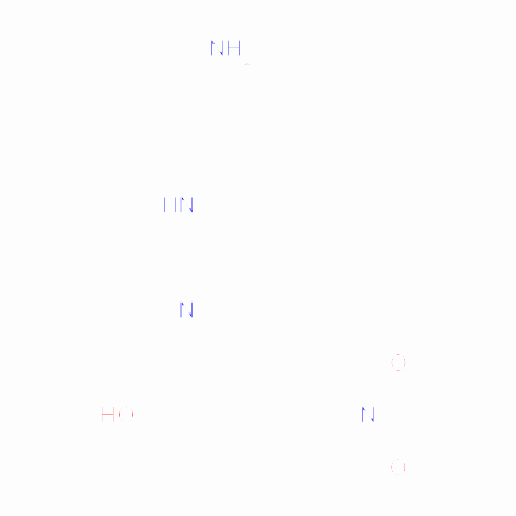 NCCNc1ccc2c([N+](=O)[O-])ccc(O)c2n1